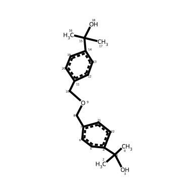 CC(C)(O)c1ccc(COCc2ccc(C(C)(C)O)cc2)cc1